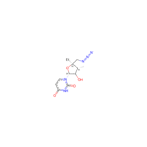 CC[C@@]1(CN=[N+]=[N-])O[C@@H](n2ccc(=O)[nH]c2=O)C(O)[C@H]1C